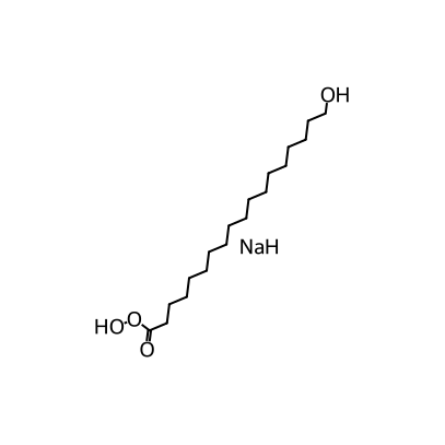 O=C(CCCCCCCCCCCCCCCCCO)OO.[NaH]